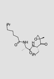 CC(C)CCCCC(=O)N[C@@H](C)C(=O)N[C@@H](CC(C)C)C(=O)[C@@]1(C)CO1